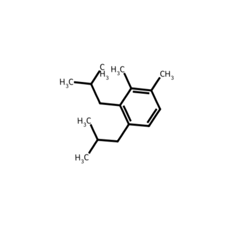 Cc1ccc(CC(C)C)c(CC(C)C)c1C